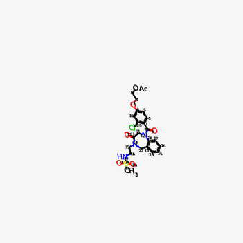 CC(=O)OCCOc1ccc(C(=O)N2CC(=O)N(CCNS(C)(=O)=O)Cc3ccccc32)c(Cl)c1